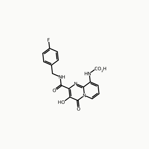 O=C(O)Nc1cccn2c(=O)c(O)c(C(=O)NCc3ccc(F)cc3)nc12